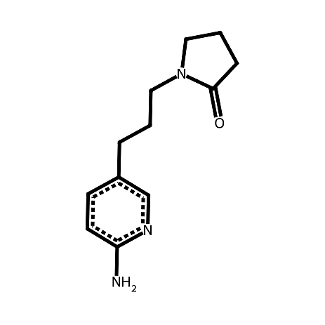 Nc1ccc(CCCN2CCCC2=O)cn1